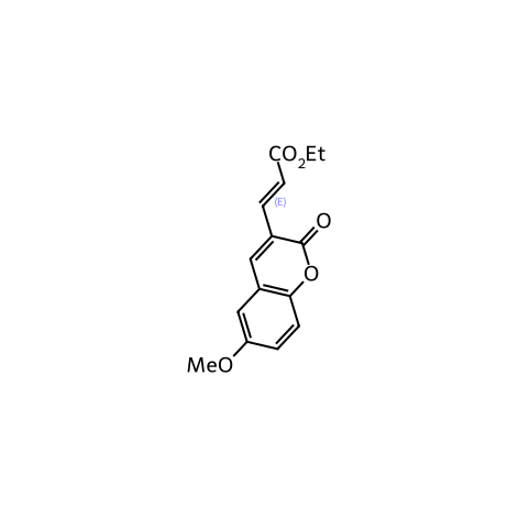 CCOC(=O)/C=C/c1cc2cc(OC)ccc2oc1=O